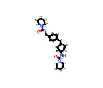 O=C(NCc1ccc(Cc2ccc(NC(=O)N3CCCCC3)cc2)cc1)N1CCCCC1